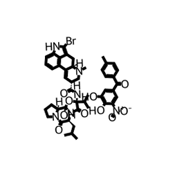 CC(C)C[C@H]1C(=O)N2CCC[C@H]2[C@]2(O)O[C@](NC(=O)[C@@H]3C=C4c5cccc6[nH]c(Br)c(c56)C[C@H]4N(C)C3)(C(C)C)C(=O)N12.Cc1ccc(C(=O)c2cc(O)c(O)c([N+](=O)[O-])c2)cc1